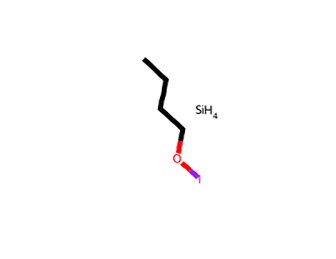 CCCCOI.[SiH4]